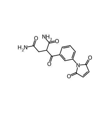 NC(=O)CC(C(N)=O)C(=O)c1cccc(N2C(=O)C=CC2=O)c1